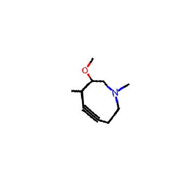 COC1CN(C)CCC#CC1C